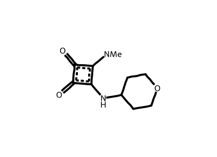 CNc1c(NC2CCOCC2)c(=O)c1=O